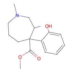 COC(=O)C1(c2ccccc2O)CCCN(C)CC1C